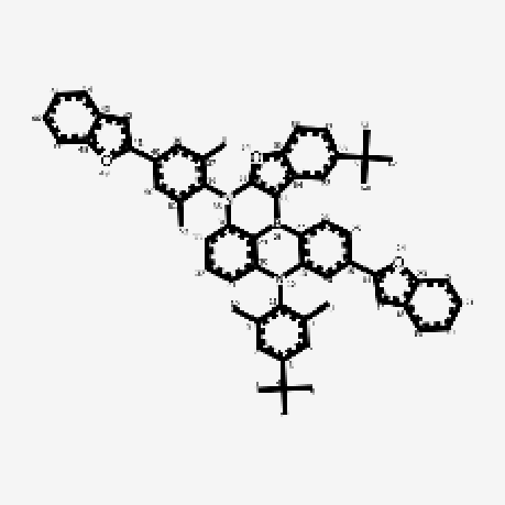 Cc1cc(C(C)(C)C)cc(C)c1N1c2cc(-c3cc4ccccc4o3)ccc2B2c3c1cccc3N(c1c(C)cc(-c3cc4ccccc4o3)cc1C)c1oc3ccc(C(C)(C)C)cc3c12